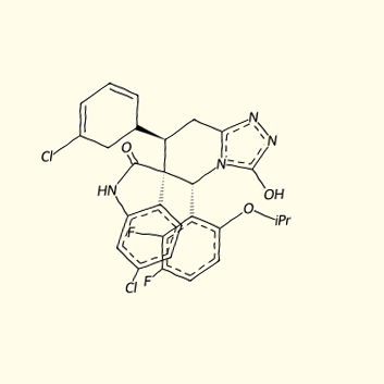 CC(C)Oc1ccc(F)c(F)c1[C@H]1n2c(O)nnc2C[C@H](C2C=CC=C(Cl)C2)[C@]12C(=O)Nc1cc(Cl)ccc12